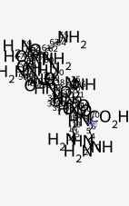 N=C(N)NCC/C=C(\NC(=O)[C@H](CCCCN)NC(=O)[C@H](Cc1cnc[nH]1)NC(=O)[C@@H]1CCCN1C(=O)[C@@H](CCCN)NC(=O)CNC(=O)[C@H](CN)NC(=O)[C@@H](NC(=O)[C@@H](N)CCCCN)[C@@H](O)CN)C(=O)O